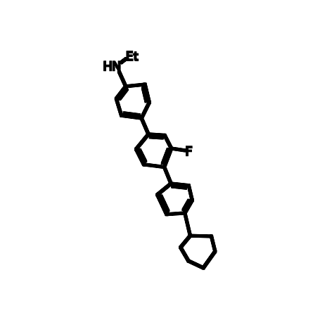 CCNc1ccc(-c2ccc(-c3ccc(C4CCCCC4)cc3)c(F)c2)cc1